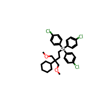 COCC(CC[Si](c1ccc(Cl)cc1)(c1ccc(Cl)cc1)c1ccc(Cl)cc1)(COC)C1CCCCC1